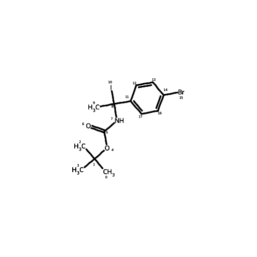 CC(C)(C)OC(=O)NC(C)(I)c1ccc(Br)cc1